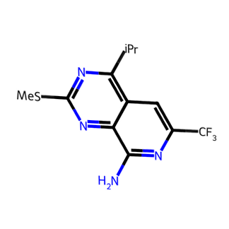 CSc1nc(C(C)C)c2cc(C(F)(F)F)nc(N)c2n1